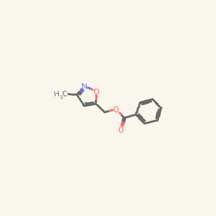 Cc1cc(COC(=O)c2ccccc2)on1